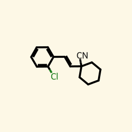 N#CC1(/C=C/c2ccccc2Cl)CCCCC1